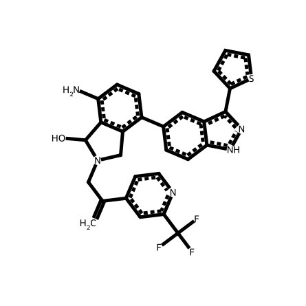 C=C(CN1Cc2c(-c3ccc4[nH]nc(-c5cccs5)c4c3)ccc(N)c2C1O)c1ccnc(C(F)(F)F)c1